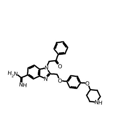 N=C(N)c1ccc2c(c1)nc(COc1ccc(OC3CCNCC3)cc1)n2CC(=O)c1ccccc1